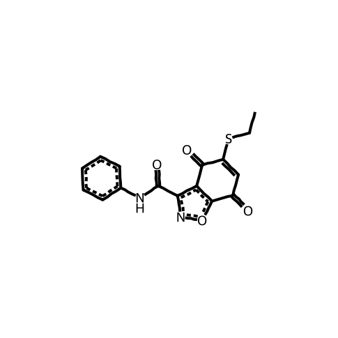 CCSC1=CC(=O)c2onc(C(=O)Nc3ccccc3)c2C1=O